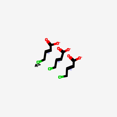 O=C([O-])/C=C/CCl.O=C([O-])/C=C/CCl.O=C([O-])/C=C/CCl.[Al+3]